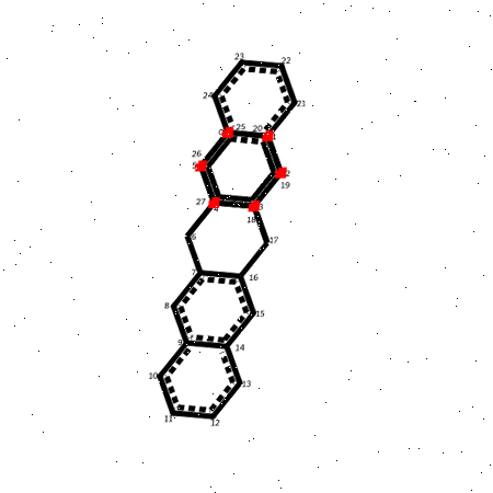 c1ccc2c(c1)C1c3cc4ccccc4cc3C2c2cc3ccccc3cc21